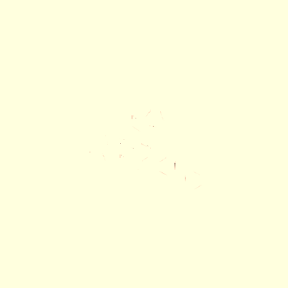 CC1(NC2C3CCC(CC3)C2C(=O)O)C=C(c2ccc(-c3ccccc3)cc2)N=C(c2c[nH]c3c(F)cc(F)cc23)N1